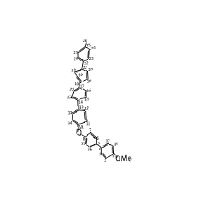 COc1ccc(-c2ccc(Oc3ccc(-c4ccc(-c5ccc(-c6ccc(C)cc6)cc5)cc4)cc3)cc2)cc1